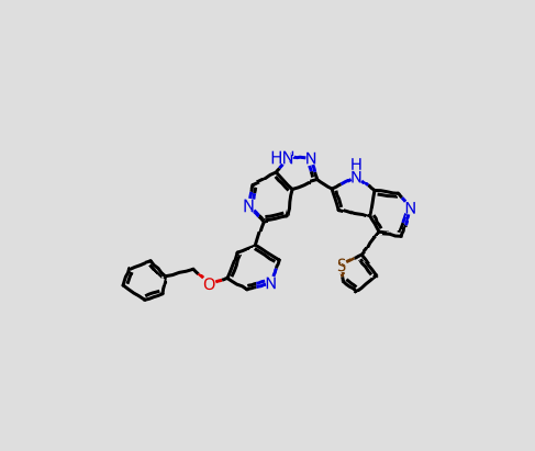 c1ccc(COc2cncc(-c3cc4c(-c5cc6c(-c7cccs7)cncc6[nH]5)n[nH]c4cn3)c2)cc1